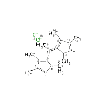 [CH2]=[Ti+2]([C]1=C(C)C(C)=CC1C)[C]1=C(C)C(C)=CC1C.[Cl-].[Cl-]